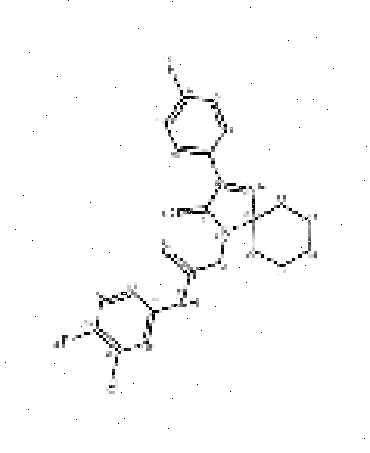 O=C(CN1C(=O)C(c2ccc(F)cc2)=NC12CCCCC2)Nc1ccc(F)c(Cl)c1